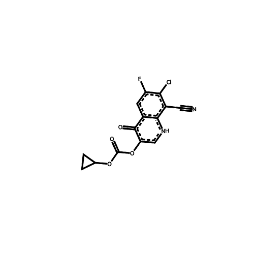 N#Cc1c(Cl)c(F)cc2c(=O)c(OC(=O)OC3CC3)c[nH]c12